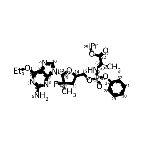 CCOc1nc(N)nc2c1ncn2[C@@H]1OC(COP(=O)(N[C@@H](C)C(=O)OC(C)C)Oc2ccccc2)C[C@@]1(C)F